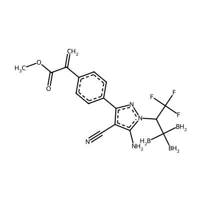 BC(B)(B)C(n1nc(-c2ccc(C(=C)C(=O)OC)cc2)c(C#N)c1N)C(F)(F)F